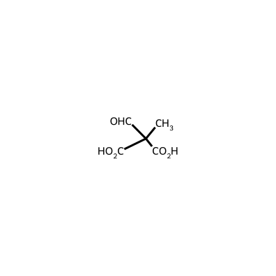 CC(C=O)(C(=O)O)C(=O)O